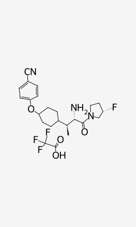 C[C@@H](C1CCC(Oc2ccc(C#N)cc2)CC1)[C@H](N)C(=O)N1CC[C@H](F)C1.O=C(O)C(F)(F)F